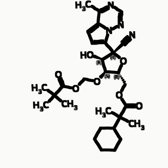 Cc1ncnn2c([C@]3(C#N)O[C@H](COC(=O)C(C)(C)C4CCCCC4)[C@@H](OCOC(=O)C(C)(C)C)[C@H]3O)ccc12